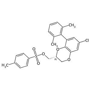 Cc1ccc(S(=O)(=O)OC[C@H]2COc3cc(Cl)cc(-c4c(C)cccc4C)c3O2)cc1